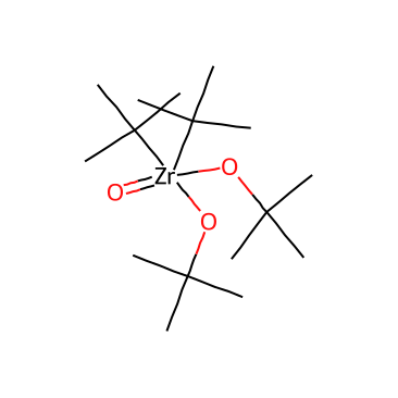 CC(C)(C)[O][Zr](=[O])([O]C(C)(C)C)([C](C)(C)C)[C](C)(C)C